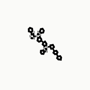 c1ccc(-c2ccc(-c3cccc(-n4c5ccc(-c6ccc7c(c6)n6c8ccccc8nc6n7-c6ncnc7c6oc6ccccc67)cc5n5c6ccccc6nc45)c3)cc2)cc1